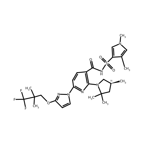 Cc1cn(C)cc1S(=O)(=O)NC(=O)c1ccc(-n2ccc(OCC(C)(C)C(F)(F)F)n2)nc1N1C[C@@H](C)CC1(C)C